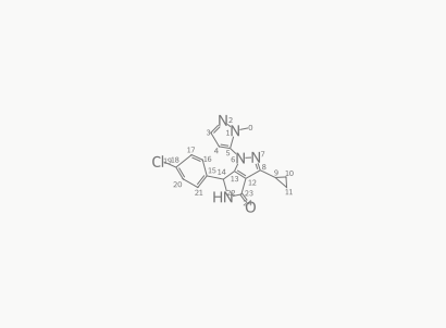 Cn1nccc1-n1nc(C2CC2)c2c1C(c1ccc(Cl)cc1)NC2=O